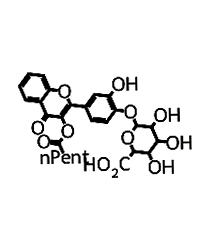 CCCCCC(=O)Oc1c(-c2ccc(OC3OC(C(=O)O)C(O)C(O)C3O)c(O)c2)oc2ccccc2c1=O